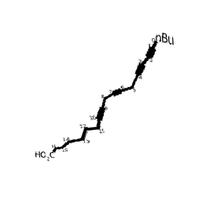 CCCCC#CC#CCC#CCC#CCCCCCCC(=O)O